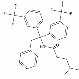 CC(C)CCC(=O)NC(Cc1ccccc1)(c1cccc(C(F)(F)F)c1)c1cccc(C(F)(F)F)c1